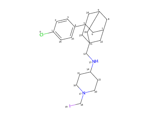 Clc1ccc(C23CC4CC(CC(CNC5CCN(CI)CC5)(C4)C2)C3)cc1